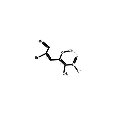 COC(/C=C(/Br)C=N)=C(/C)[N+](=O)[O-]